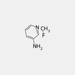 CF.Nc1cccnc1